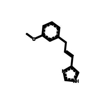 COc1cccc(CC=Cc2c[nH]cn2)c1